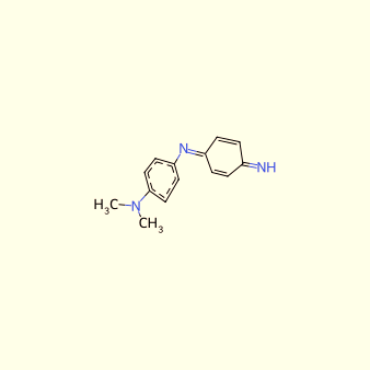 CN(C)c1ccc(N=C2C=CC(=N)C=C2)cc1